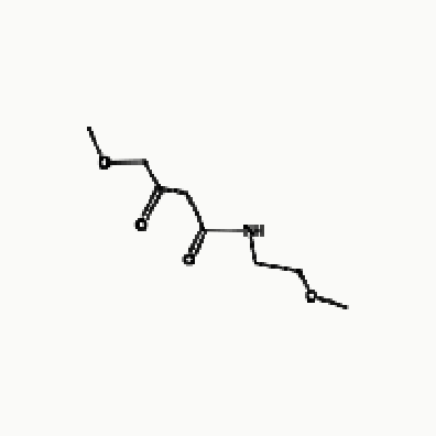 COCCNC(=O)CC(=O)COC